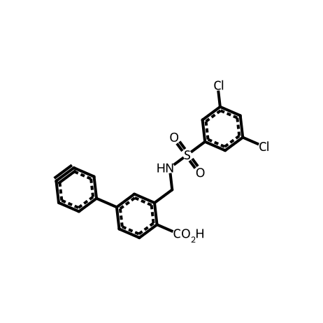 O=C(O)c1ccc(-c2cc#ccc2)cc1CNS(=O)(=O)c1cc(Cl)cc(Cl)c1